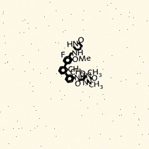 COc1cc(-c2cccc(-c3cccc(NC(=O)c4nn(C)c(=O)n(C)c4=O)c3C)c2C)cc(F)c1CNC1CCC(=O)NC1